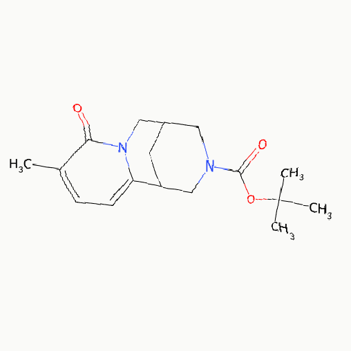 Cc1ccc2n(c1=O)CC1CC2CN(C(=O)OC(C)(C)C)C1